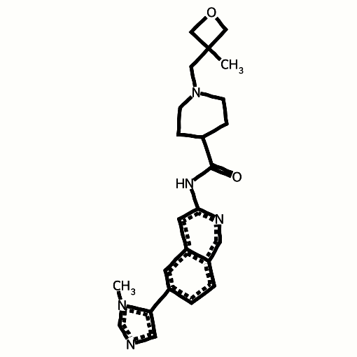 Cn1cncc1-c1ccc2cnc(NC(=O)C3CCN(CC4(C)COC4)CC3)cc2c1